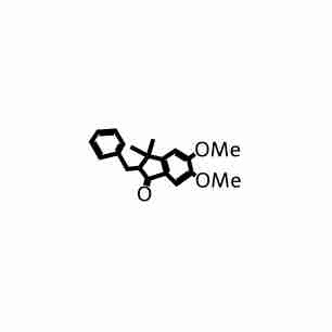 COc1cc2c(cc1OC)C(C)(C)C(Cc1ccccc1)C2=O